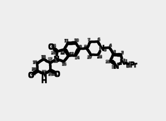 CC(C)n1cc(CN2CCC(c3ccc4c(c3)CN(C3CCC(=O)NC3=O)C4=O)CC2)cn1